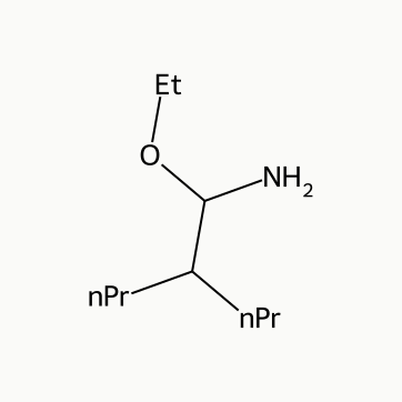 CCCC(CCC)C(N)OCC